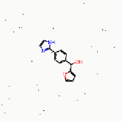 OC(c1ccc(-c2ncc[nH]2)cc1)c1ccco1